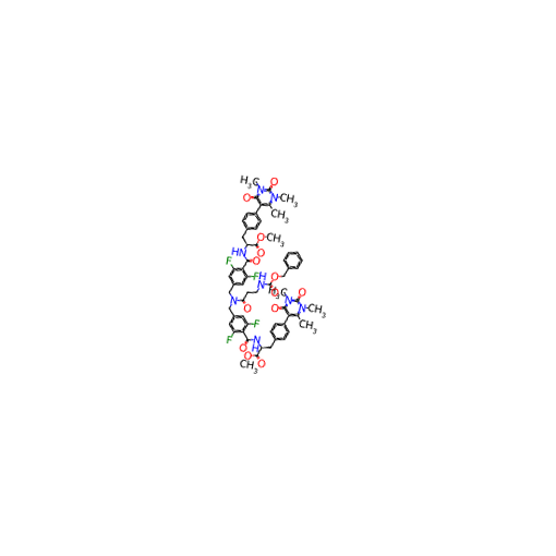 COC(=O)[C@H](Cc1ccc(-c2c(C)n(C)c(=O)n(C)c2=O)cc1)NC(=O)c1c(F)cc(CN(Cc2cc(F)c(C(=O)N[C@@H](Cc3ccc(-c4c(C)n(C)c(=O)n(C)c4=O)cc3)C(=O)OC)c(F)c2)C(=O)CCNC(=O)OCc2ccccc2)cc1F